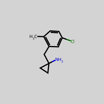 Cc1ccc(Cl)cc1CC1(N)CC1